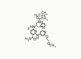 COCCOc1cc(Nc2nc(N[C@@H](CNC(=O)OC(C)(C)C)Cn3cccn3)c(F)cc2C(N)=O)ccn1